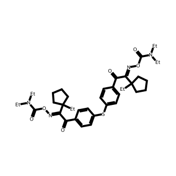 CCN(CC)C(=O)O/N=C(/C(=O)c1ccc(Sc2ccc(C(=O)/C(=N/OC(=O)N(CC)CC)C3(CC)CCCC3)cc2)cc1)C1(CC)CCCC1